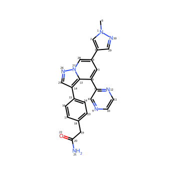 Cn1cc(-c2cc(-c3cnccn3)c3c(-c4ccc(CC(N)=O)cc4)cnn3c2)cn1